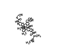 Cc1cccc(F)c1-c1cc2cc(NC(=O)[C@@H]3[C@@H](C)[C@H]3c3cnn(C)c3)ncc2c(Nc2cc3c(c(-c4cc5cc(NC(=O)[C@H]6C[C@@H]6CC#N)ncc5c(N)n4)c2C)CC[C@@]3(C)O)n1